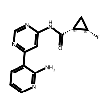 Nc1ncccc1-c1cc(NC(=O)[C@@H]2C[C@@H]2F)ncn1